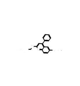 CCCCCCc1ccc2nc(N(C)CC(=O)O)cc(-c3ccccc3)c2c1